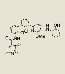 COc1nc(-c2cccc(-c3cccc(NC(=O)c4cc(C)nn(C)c4=O)c3Cl)c2Cl)ccc1CNC1CCCCC1O